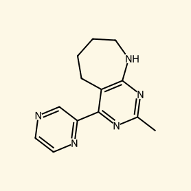 Cc1nc2c(c(-c3cnccn3)n1)CCCCN2